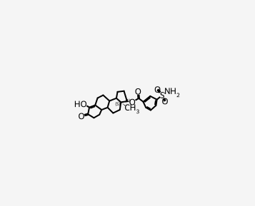 C[C@]12CCC3C4CCC(=O)C(O)=C4CCC3C1CC[C@@H]2OC(=O)c1cccc(S(N)(=O)=O)c1